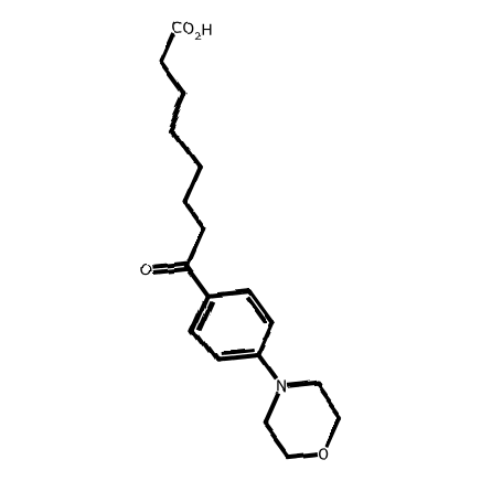 O=C(O)CCCCCCC(=O)c1ccc(N2CCOCC2)cc1